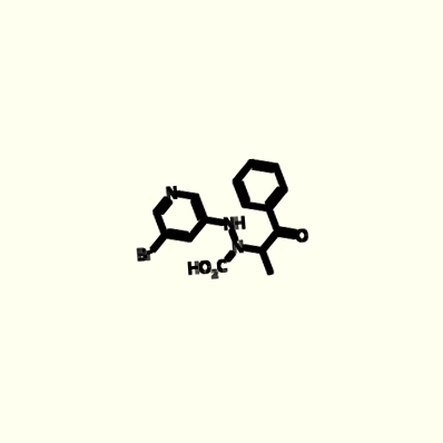 CC(C(=O)c1ccccc1)N(Nc1cncc(Br)c1)C(=O)O